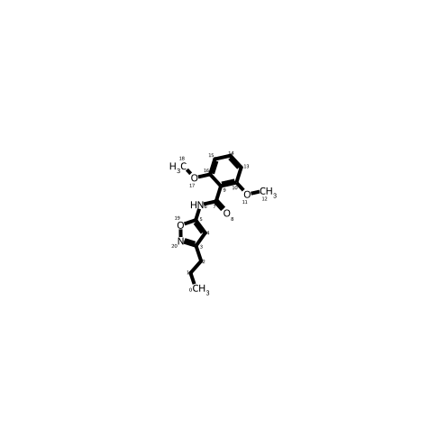 CCCc1cc(NC(=O)c2c(OC)cccc2OC)on1